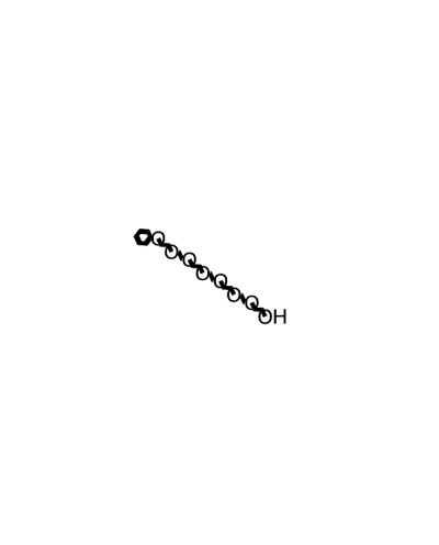 OCCOCCOCCOCCOCCOCCOCCOc1ccccc1